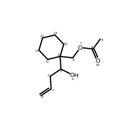 C=CCC(O)C1(COC(C)=O)CCCCC1